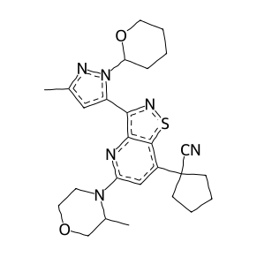 Cc1cc(-c2nsc3c(C4(C#N)CCCC4)cc(N4CCOCC4C)nc23)n(C2CCCCO2)n1